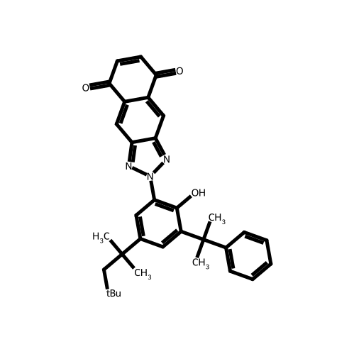 CC(C)(C)CC(C)(C)c1cc(-n2nc3cc4c(cc3n2)C(=O)C=CC4=O)c(O)c(C(C)(C)c2ccccc2)c1